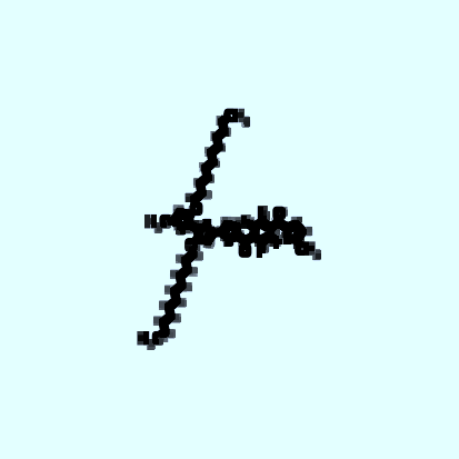 CCCCCCCCCCCCOc1cc(C)sc1-c1sc(-c2ccc(C(=O)c3c(F)c(F)c(C(=O)c4ccc(C)s4)c(F)c3F)s2)cc1OCCCCCCCCCCCC